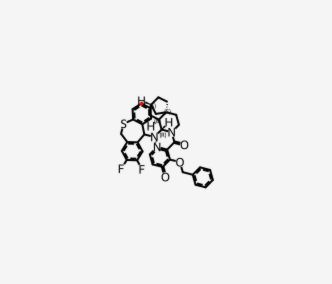 O=C1c2c(OCc3ccccc3)c(=O)ccn2N(C2c3cc(F)c(F)cc3CSc3ccccc32)[C@@H]2[C@H]3C[C@@H]4CC[C@@]3(CCN12)C4